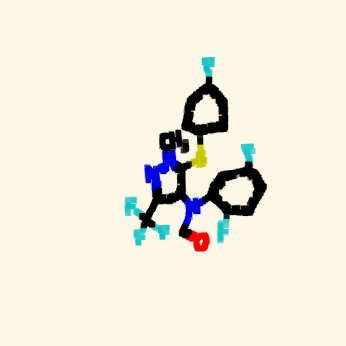 Cn1nc(C(F)(F)F)c(N(C=O)c2cc(F)ccc2F)c1Sc1ccc(F)cc1